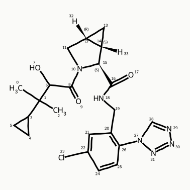 CC(C)(C1CC1)C(O)C(=O)N1C[C@@H]2C[C@@H]2[C@H]1C(=O)NCc1cc(Cl)ccc1-n1cnnn1